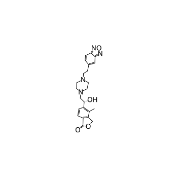 Cc1c([C@@H](O)CN2CCN(CCc3ccc4nonc4c3)CC2)ccc2c1COC2=O